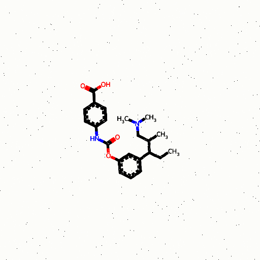 CCC(c1cccc(OC(=O)Nc2ccc(C(=O)O)cc2)c1)C(C)CN(C)C